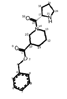 O=C(OCc1ccccc1)C1CCCN(C(=O)[C@@H]2CCCN2)C1